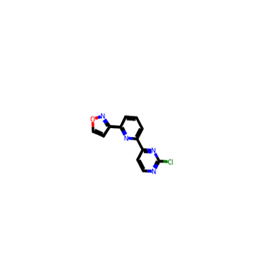 Clc1nccc(-c2cccc(-c3ccon3)n2)n1